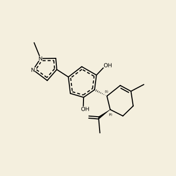 C=C(C)[C@@H]1CCC(C)=C[C@H]1c1c(O)cc(-c2cnn(C)c2)cc1O